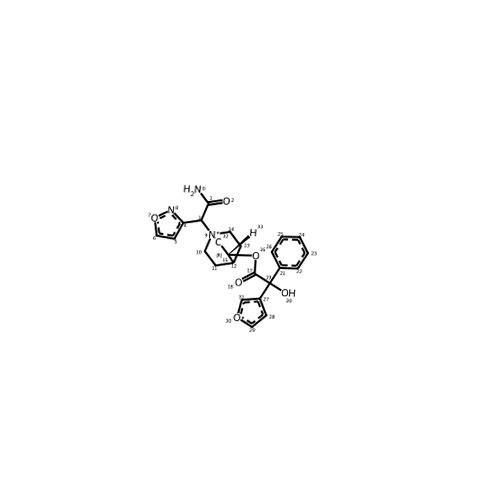 NC(=O)C(c1ccon1)[N+]12CCC(CC1)[C@@H](OC(=O)C(O)(c1ccccc1)c1ccoc1)C2